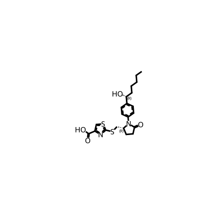 CCCCC[C@@H](O)c1ccc(N2C(=O)CC[C@@H]2CSc2nc(C(=O)O)cs2)cc1